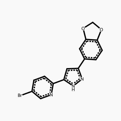 Brc1ccc(-c2cc(-c3ccc4c(c3)OCO4)n[nH]2)nc1